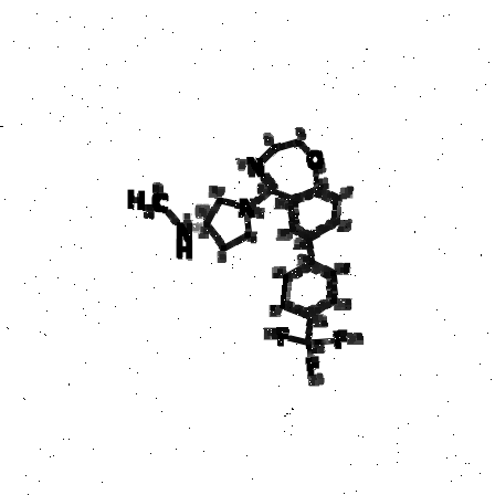 CN[C@H]1CCN(C2=NCCOc3ccc(-c4ccc(C(F)(F)F)cc4)cc32)C1